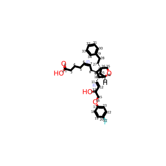 O=C(O)CCC/C=C\C[C@@H]1[C@@H](/C=C/[C@H](O)COc2ccc(F)cc2)[C@H]2C[C@]1(CCc1ccccc1)CO2